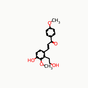 COc1ccc(C(=O)/C=C/c2ccc(O)c(OC)c2CCO)cc1